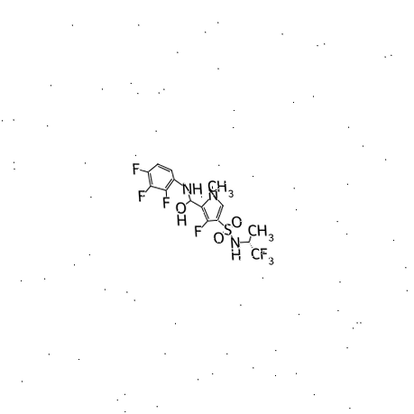 C[C@@H](NS(=O)(=O)c1cn(C)c(C(O)Nc2ccc(F)c(F)c2F)c1F)C(F)(F)F